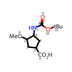 COC1CC(C(=O)O)CC1NC(=O)OC(C)(C)C